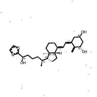 C=C1/C(=C\C=C2/CCC[C@]3(C)[C@@H]([C@@H](C)CCC[C@@H](O)c4nccs4)CC[C@@H]23)C[C@@H](O)C[C@@H]1O